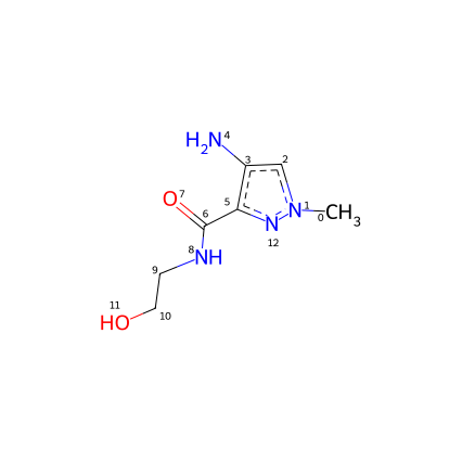 Cn1cc(N)c(C(=O)NCCO)n1